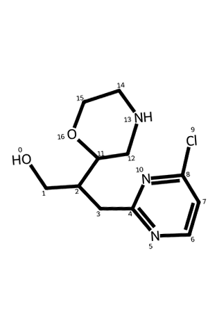 OCC(Cc1nccc(Cl)n1)C1CNCCO1